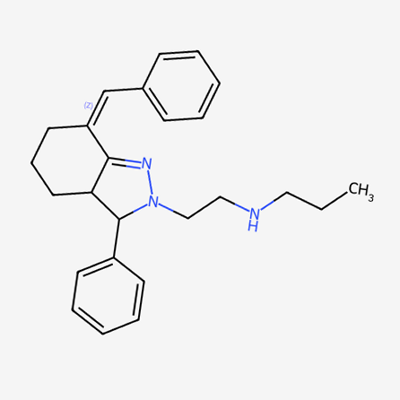 CCCNCCN1N=C2/C(=C\c3ccccc3)CCCC2C1c1ccccc1